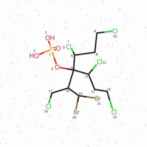 O=P(O)(O)OC(C(Cl)CCCl)(C(Cl)CCCl)C(CCl)C(Br)Br